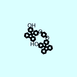 Oc1ccc(C2(c3ccc(Oc4ccc(Oc5ccc(C6(c7ccc(O)cc7)c7ccccc7-c7ccccc76)cc5)cc4)cc3)c3ccccc3-c3ccccc32)cc1